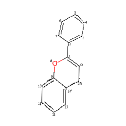 C1=C(c2ccccc2)Oc2ccccc2C1